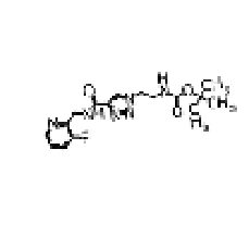 CC(C)(C)OC(=O)NCCn1cc(C(=O)NCc2ncccc2F)nn1